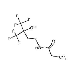 CCC(=O)NCCC(O)(C(F)(F)F)C(F)(F)F